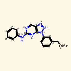 COCc1cccc(-n2nnc3cnc(Nc4ccccc4)nc32)c1